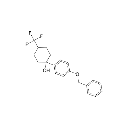 OC1(c2ccc(OCc3ccccc3)cc2)CCC(C(F)(F)F)CC1